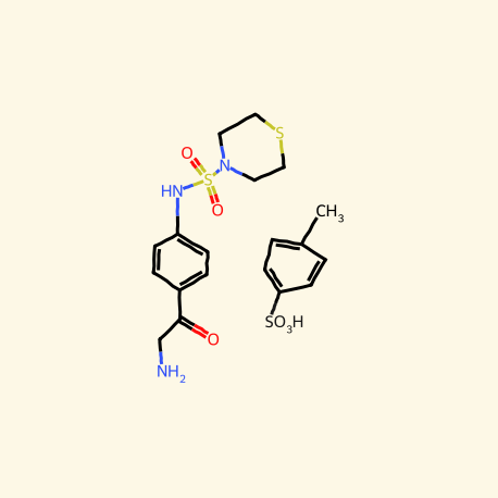 Cc1ccc(S(=O)(=O)O)cc1.NCC(=O)c1ccc(NS(=O)(=O)N2CCSCC2)cc1